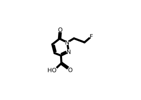 O=C(O)c1ccc(=O)n(CCF)n1